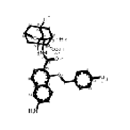 Nc1ccc2c(OCc3ccc(C(F)(F)F)cc3)c(C(=O)N[C@@]3(C(=O)O)CC4C[C@@H]5C[C@H](C4)C[C@H]3C5)ccc2c1